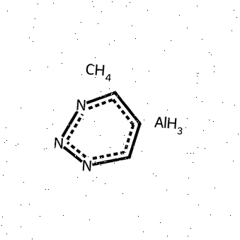 C.[AlH3].c1cnnnc1